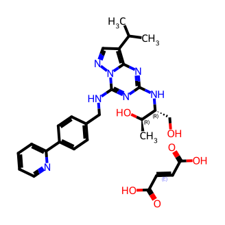 CC(C)c1cnn2c(NCc3ccc(-c4ccccn4)cc3)nc(N[C@H](CO)[C@@H](C)O)nc12.O=C(O)/C=C/C(=O)O